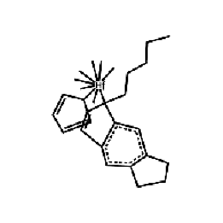 CCCCC[C]1([Hf]([CH3])([CH3])([CH3])([CH3])([CH3])([CH3])([CH3])[CH]2C=CC=C2)C=Cc2cc3c(cc21)CCC3